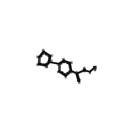 O=C(OCCl)c1ccc(-c2cc[c]cc2)cc1